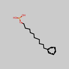 OP(O)OCCCCCCCCCCc1ccccc1